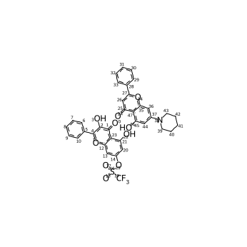 O=c1c(O)c(-c2ccccc2)oc2cc(OS(=O)(=O)C(F)(F)F)cc(O)c12.O=c1cc(-c2ccccc2)oc2cc(N3CCCCC3)cc(O)c12